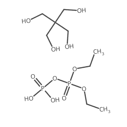 CCOP(=O)(OCC)OP(=O)(O)O.OCC(CO)(CO)CO